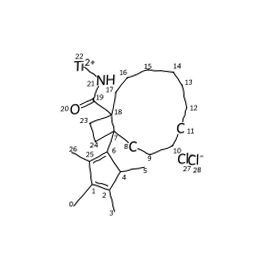 CC1=C(C)C(C)C(C23CCCCCCCCCCC2(C(=O)[NH][Ti+2])CC3)=C1C.[Cl-].[Cl-]